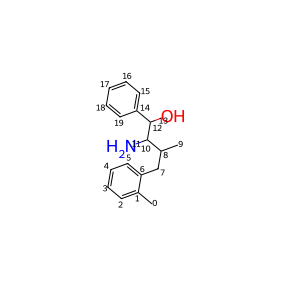 Cc1ccccc1CC(C)C(N)C(O)c1ccccc1